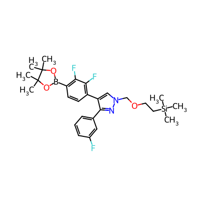 CC1(C)OB(c2ccc(-c3cn(COCC[Si](C)(C)C)nc3-c3cccc(F)c3)c(F)c2F)OC1(C)C